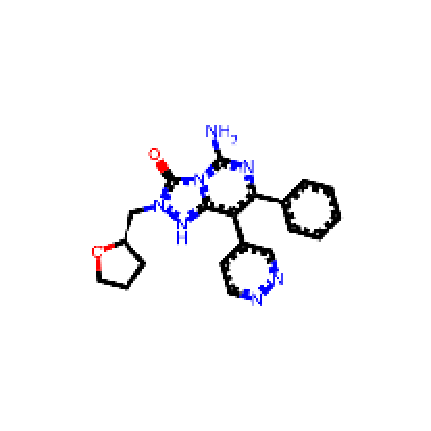 Nc1nc(-c2ccccc2)c(-c2ccnnc2)c2[nH]n(C[C@H]3CCCO3)c(=O)[n+]12